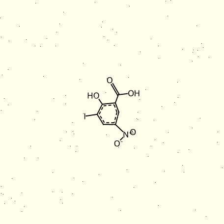 O=C(O)c1cc([N+](=O)[O-])cc(I)c1O